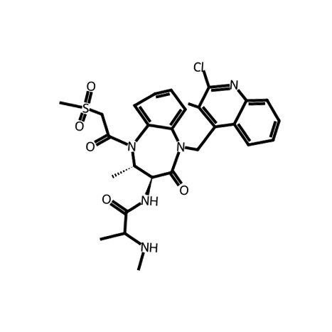 CNC(C)C(=O)N[C@@H]1C(=O)N(Cc2c(C)c(Cl)nc3ccccc23)c2ccccc2N(C(=O)CS(C)(=O)=O)[C@H]1C